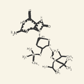 CC(C)[Si](OC[C@H]1O[C@@H](n2c(=O)[nH]c3c(=O)[nH]c(N)nc32)CC1O[Si](C)(C)C)(C(C)C)C(C)(C)C